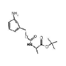 CC(NC(=O)OCc1cccc(N)c1)C(=O)OC(C)(C)C